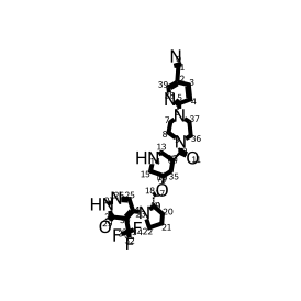 N#Cc1ccc(N2CCN(C(=O)[C@@H]3CNC[C@H](OC[C@@H]4CCCN4c4cn[nH]c(=O)c4C(F)(F)F)C3)CC2)nc1